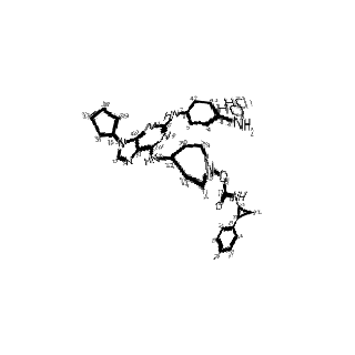 Cl.Cl.NC1CCC(Nc2nc(NC3CCN(OC(=O)N[C@@H]4C[C@H]4c4ccccc4)CC3)c3ncn(C4CCCC4)c3n2)CC1